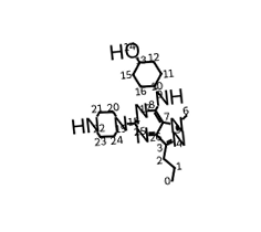 CCCc1nn(C)c2c(N[C@H]3CC[C@H](O)CC3)nc(N3CCNCC3)nc12